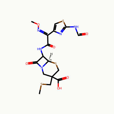 CON=C(C(=O)NC1C(=O)N2CC(CSC)(C(=O)O)CS[C@H]12)c1csc(NC=O)n1